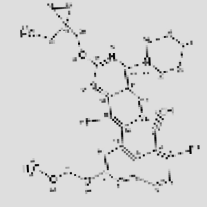 C#Cc1c(F)ccc2cc(OCOC)cc(-c3ncc4c(N5CCCCC5)nc(OCC5(CO)CC5)nc4c3F)c12